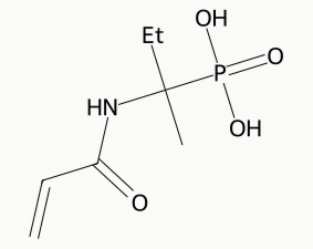 C=CC(=O)NC(C)(CC)P(=O)(O)O